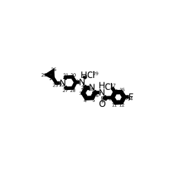 CN(c1cccc(NC(=O)c2ccc(F)cc2Cl)n1)C1CCN(CC2CC2)CC1.Cl